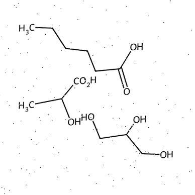 CC(O)C(=O)O.CCCCCC(=O)O.OCC(O)CO